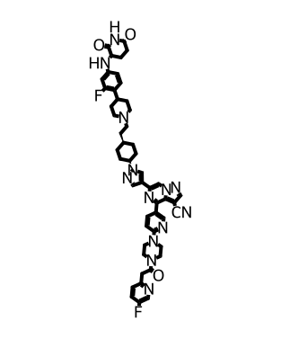 N#Cc1cnn2cc(-c3cnn([C@H]4CC[C@H](CCN5CCC(c6ccc(NC7CCC(=O)NC7=O)cc6F)CC5)CC4)c3)nc(-c3ccc(N4CCN(C(=O)Cc5ccc(F)cn5)CC4)nc3)c12